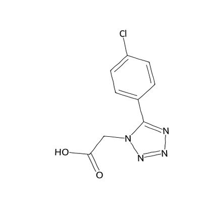 O=C(O)Cn1nnnc1-c1ccc(Cl)cc1